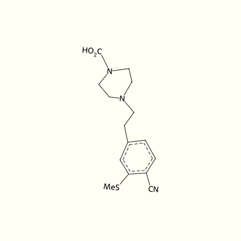 CSc1cc(CCN2CCN(C(=O)O)CC2)ccc1C#N